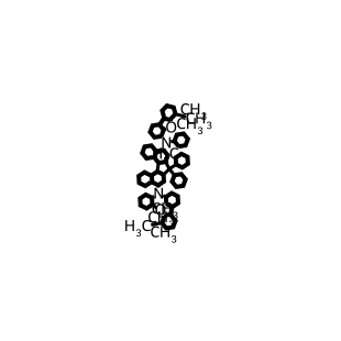 Cc1ccccc1N(c1cc2c(c3ccccc13)-c1c(cc(N(c3ccccc3C)c3cccc4c3oc3c(C(C)(C)C)cccc34)c3ccccc13)C2(c1ccccc1)c1ccccc1)c1cccc2c1oc1c(C(C)(C)C)cccc12